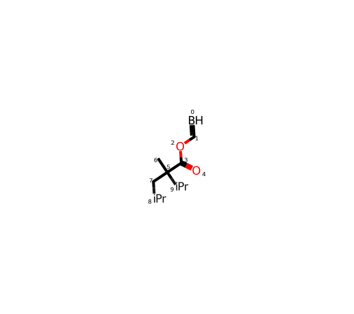 B=COC(=O)C(C)(CC(C)C)C(C)C